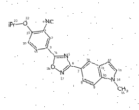 [C-]#[N+]c1cc(-c2nc(-c3ccc4c(ccn4C)c3)no2)ccc1OC(C)C